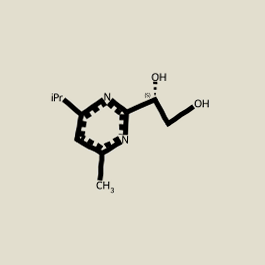 Cc1cc(C(C)C)nc([C@H](O)CO)n1